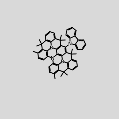 Cc1ccc2c3c1C(C)(C)c1cccc4c1B3c1c3c5c(c(-n6c7ccccc7c7ccccc76)c1C4(C)C)C(C)(C)c1cccc4c1B5c1c(ccc(C)c1C4(C)C)N23